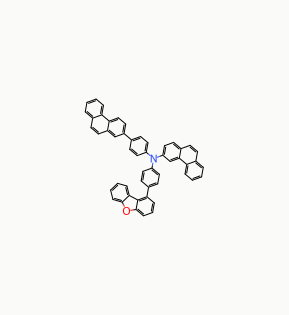 c1ccc2c(c1)ccc1cc(-c3ccc(N(c4ccc(-c5cccc6oc7ccccc7c56)cc4)c4ccc5ccc6ccccc6c5c4)cc3)ccc12